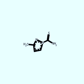 Cc1ccn(C(N)=S)n1